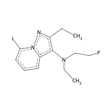 CCc1nn2c(I)cccc2c1N(CC)CCF